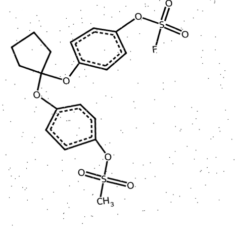 CS(=O)(=O)Oc1ccc(OC2(Oc3ccc(OS(=O)(=O)F)cc3)CCCC2)cc1